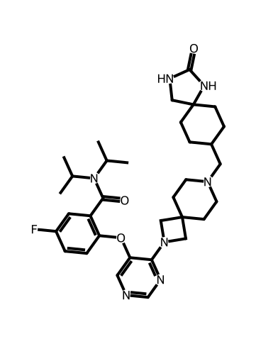 CC(C)N(C(=O)c1cc(F)ccc1Oc1cncnc1N1CC2(CCN(CC3CCC4(CC3)CNC(=O)N4)CC2)C1)C(C)C